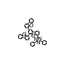 c1ccc(-c2nc(-c3ccccc3)nc(-c3cccc4c3oc3c(-c5cccc6c5oc5ccccc56)cc(-c5cccc6c5oc5ccccc56)cc34)n2)cc1